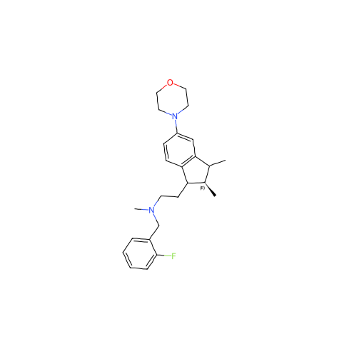 CC1c2cc(N3CCOCC3)ccc2C(CCN(C)Cc2ccccc2F)[C@@H]1C